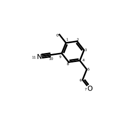 Cc1ccc(CC=O)cc1C#N